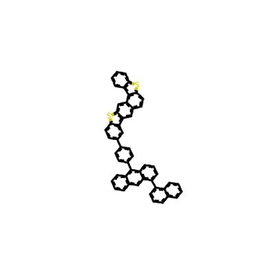 c1ccc2c(-c3cccc4c(-c5ccc(-c6ccc7sc8cc9c(ccc%10sc%11ccccc%11c%109)cc8c7c6)cc5)c5ccccc5cc34)cccc2c1